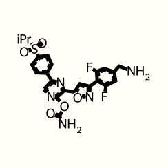 CC(C)S(=O)(=O)c1ccc(-c2cnc(OC(N)=O)c(-c3cc(-c4c(F)cc(CN)cc4F)no3)n2)cc1